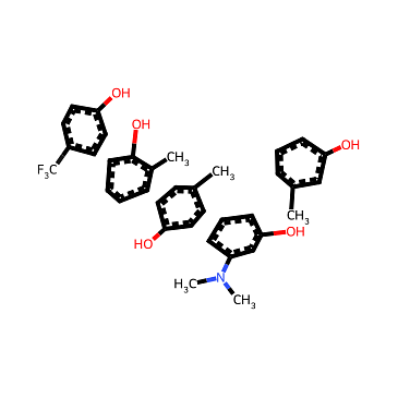 CN(C)c1cccc(O)c1.Cc1ccc(O)cc1.Cc1cccc(O)c1.Cc1ccccc1O.Oc1ccc(C(F)(F)F)cc1